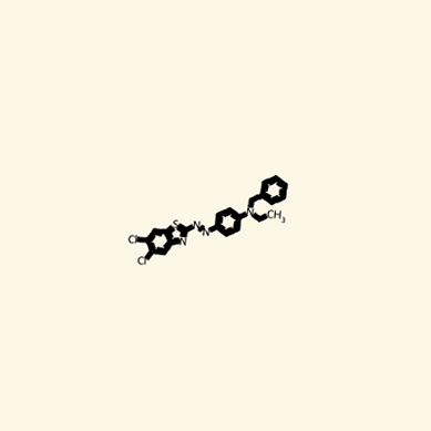 CCN(Cc1ccccc1)c1ccc(N=Nc2nc3cc(Cl)c(Cl)cc3s2)cc1